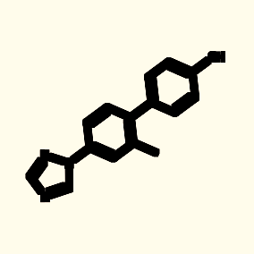 Cc1cc(-n2cncn2)ccc1-c1ccc(O)cc1